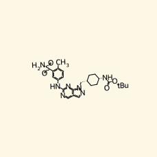 Cc1ccc(Nc2ncc3cnn(C[C@H]4CC[C@@H](NC(=O)OC(C)(C)C)CC4)c3n2)cc1S(N)(=O)=O